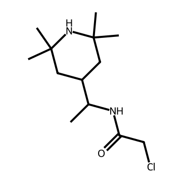 CC(NC(=O)CCl)C1CC(C)(C)NC(C)(C)C1